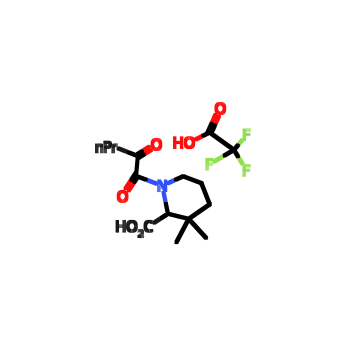 CCCC(=O)C(=O)N1CCCC(C)(C)C1C(=O)O.O=C(O)C(F)(F)F